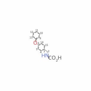 O=C(O)NCc1ccc(Oc2ccccc2)cc1